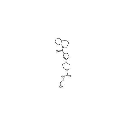 O=C(NCCO)N1CCC(c2cc(C(=O)N3CCCC4CCCCC43)cs2)CC1